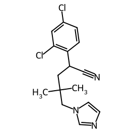 CC(C)(CC(C#N)c1ccc(Cl)cc1Cl)Cn1ccnc1